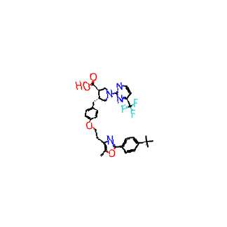 Cc1oc(-c2ccc(C(C)(C)C)cc2)nc1CCOc1ccc(C[C@H]2CN(c3nccc(C(F)(F)F)n3)C[C@@H]2C(=O)O)cc1